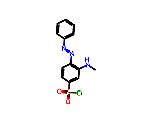 CNc1cc(S(=O)(=O)Cl)ccc1N=Nc1ccccc1